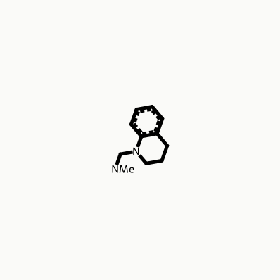 CNCN1CCCc2ccccc21